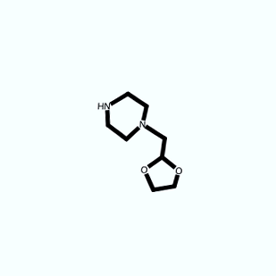 C1CN(CC2OCCO2)CCN1